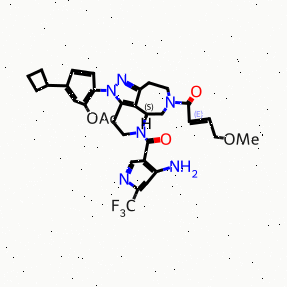 COC/C=C/C(=O)N1CCc2nn(-c3ccc(C4CCC4)cc3OC(C)=O)c3c2[C@@H](C1)N(C(=O)c1cnc(C(F)(F)F)cc1N)CC3